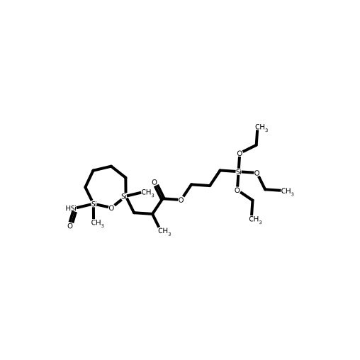 CCO[Si](CCCOC(=O)C(C)C[Si]1(C)CCCC[Si](C)([SiH]=O)O1)(OCC)OCC